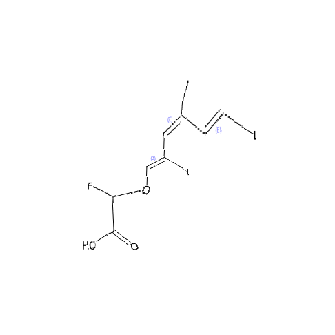 O=C(O)C(F)O/C=C(I)/C=C(I)\C=C\I